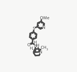 COc1cncc(Sc2ccc(C(=O)N[C@@H]3C4CCN(CC4)[C@H]3C)cc2)c1